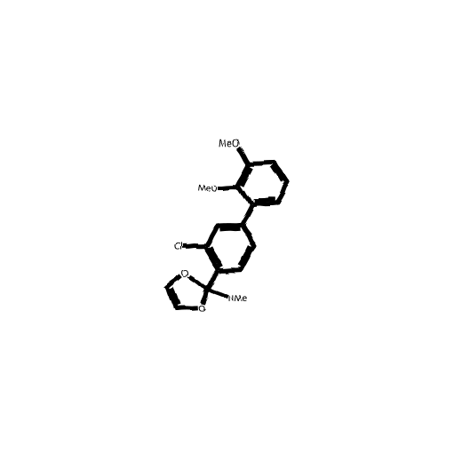 CNC1(c2ccc(-c3cccc(OC)c3OC)cc2Cl)OC=CO1